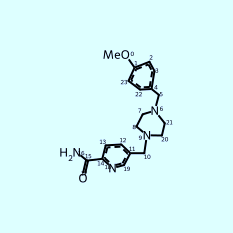 COc1ccc(CN2CCN(Cc3ccc(C(N)=O)nc3)CC2)cc1